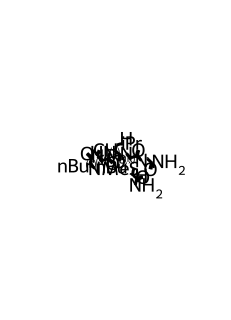 CCCC[C@H](NC)C(=O)N(C)[C@@H](CCCC)C(=O)N[C@@H](CC(C)C)C(=O)N[C@@H](CSCC(N)=O)C(=O)NCC(N)=O